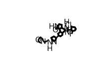 O=c1[nH]ccc2c3[nH]c(-c4c(F)cccc4Cl)nc3c3ccc(-c4ccc(NCCN5CCOCC5)nc4)cc3c12